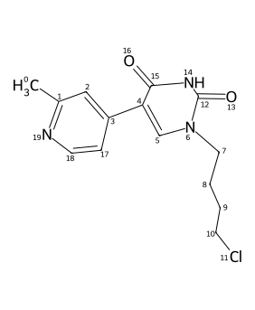 Cc1cc(-c2cn(CCCCCl)c(=O)[nH]c2=O)ccn1